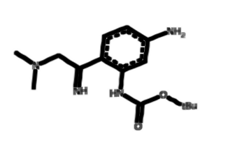 CN(C)CC(=N)c1ccc(N)cc1NC(=O)OC(C)(C)C